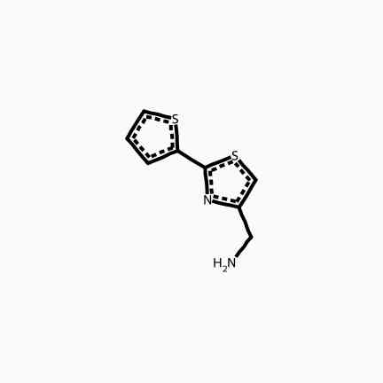 NCc1csc(-c2cccs2)n1